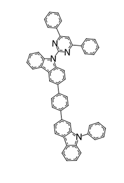 c1ccc(-c2cc(-c3ccccc3)nc(-n3c4ccccc4c4cc(-c5ccc(-c6ccc7c8ccccc8n(-c8ccccc8)c7c6)cc5)ccc43)n2)cc1